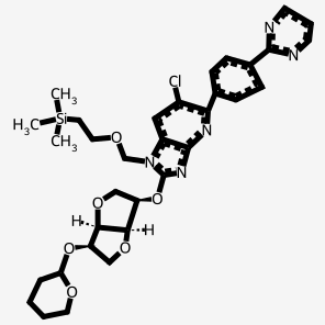 C[Si](C)(C)CCOCn1c(O[C@@H]2CO[C@H]3[C@@H]2OC[C@H]3OC2CCCCO2)nc2nc(-c3ccc(-c4ncccn4)cc3)c(Cl)cc21